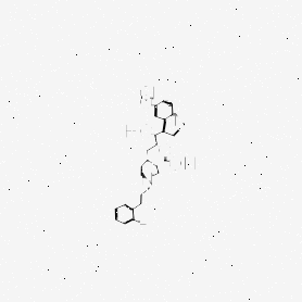 COc1ccc2nccc([C@H](O)CC[C@@H]3CCN(CCCc4ccccc4F)C[C@@H]3C(=O)O)c2c1